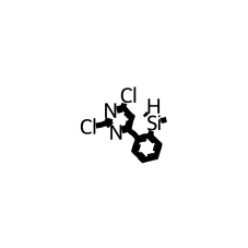 C[SiH](C)c1ccccc1-c1cc(Cl)nc(Cl)n1